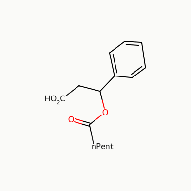 CCCCCC(=O)OC(CC(=O)O)c1ccccc1